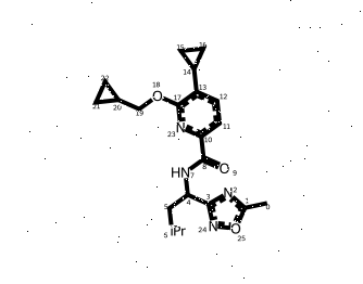 Cc1nc(C(CC(C)C)NC(=O)c2ccc(C3CC3)c(OCC3CC3)n2)no1